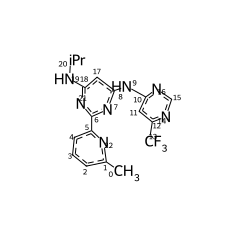 Cc1cccc(-c2nc(Nc3cc(C(F)(F)F)ncn3)cc(NC(C)C)n2)n1